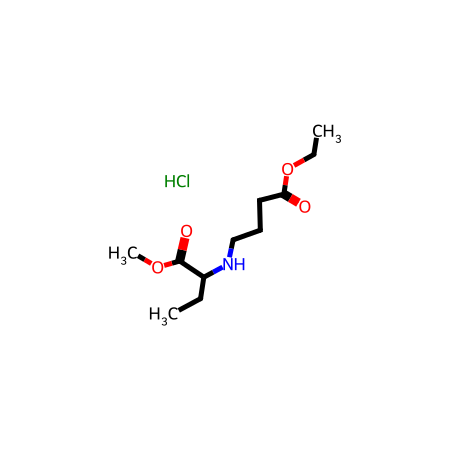 CCOC(=O)CCCNC(CC)C(=O)OC.Cl